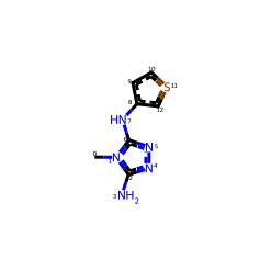 Cn1c(N)nnc1Nc1ccsc1